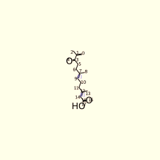 C=C(C)C(=O)CC/C(C)=C/CC/C(C)=C/C(=O)O